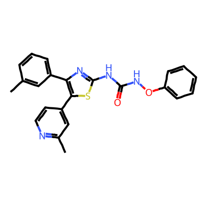 Cc1cccc(-c2nc(NC(=O)NOc3ccccc3)sc2-c2ccnc(C)c2)c1